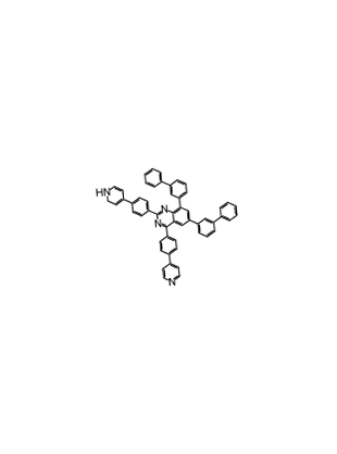 C1=CC(c2ccc(-c3nc(-c4ccc(-c5ccncc5)cc4)c4cc(-c5cccc(-c6ccccc6)c5)cc(-c5cccc(-c6ccccc6)c5)c4n3)cc2)=CCN1